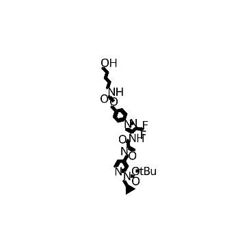 CC(C)(C)OC(=O)N(CC1CC1)c1cc(-c2nc(C(=O)Nc3cn(-c4ccc(COC(=O)NCCCCCO)cc4)nc3C(F)F)co2)ccn1